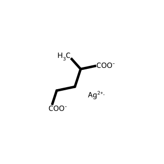 CC(CCC(=O)[O-])C(=O)[O-].[Ag+2]